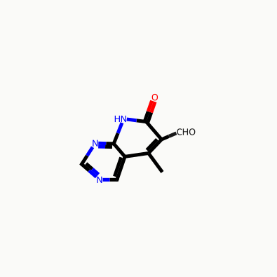 Cc1c(C=O)c(=O)[nH]c2ncncc12